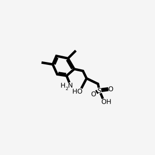 Cc1cc(C)c(CC(O)CS(=O)(=O)O)c(N)c1